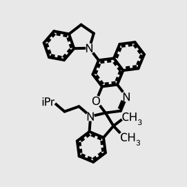 CC(C)CCN1c2ccccc2C(C)(C)C12C=Nc1c(cc(N3CCc4ccccc43)c3ccccc13)O2